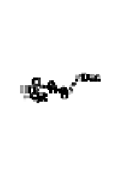 CCCCCCCCCCCCCCCCc1cccc(C(=O)OCCCCOC(=O)CCCC=CC[C@@H]2[C@@H](C=CC[C@H](O)C3(CC)CCC3)[C@H](O)C[C@H]2Cl)c1